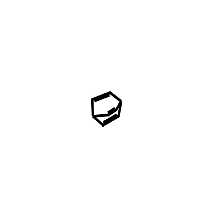 C1=CC2C=CC1C=C2